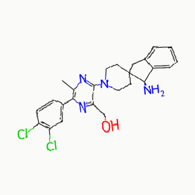 Cc1nc(N2CCC3(CC2)Cc2ccccc2[C@H]3N)c(CO)nc1-c1ccc(Cl)c(Cl)c1